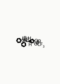 CC(C)(C)[Si](OC[C@H]1[C@@H]2C=C(OS(=O)(=O)C(F)(F)F)C[C@@H]21)(c1ccccc1)c1ccccc1